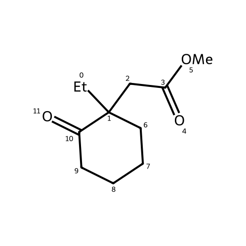 CCC1(CC(=O)OC)CCCCC1=O